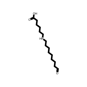 O=CCCCCCCCCNCCCCCC(=O)O